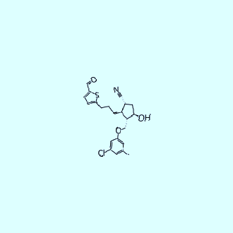 Cc1cc(Cl)cc(OC[C@@H]2[C@@H](CCCc3ccc(C=O)s3)[C@H](C#N)C[C@H]2O)c1